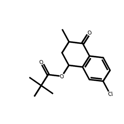 CC1CC(OC(=O)C(C)(C)C)c2cc(Cl)ccc2C1=O